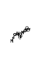 CC(C)(C)OC(=O)N1CCC2(CC1)CN(c1cc(C(F)(F)F)c3cn(-c4cccc(C5CC(C#N)C5)c4)nc3c1)C2